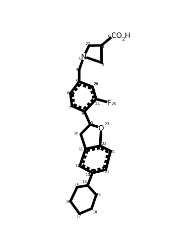 O=C(O)C1CN(Cc2ccc(C3Cc4cc(C5CCCCC5)ccc4O3)c(F)c2)C1